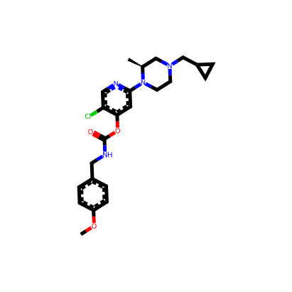 COc1ccc(CNC(=O)Oc2cc(N3CCN(CC4CC4)C[C@@H]3C)ncc2Cl)cc1